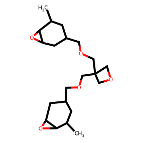 CC1CC(COCC2(COCC3CC(C)C4OC4C3)COC2)CC2OC12